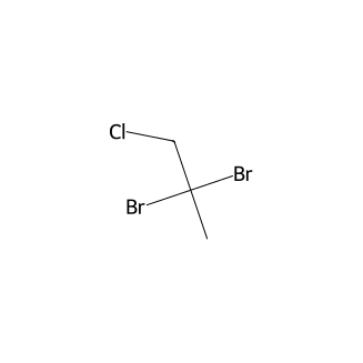 CC(Br)(Br)CCl